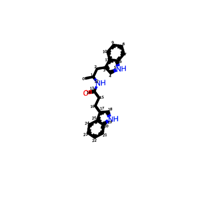 CC(Cc1c[nH]c2ccccc12)NC(=O)CCc1c[nH]c2ccccc12